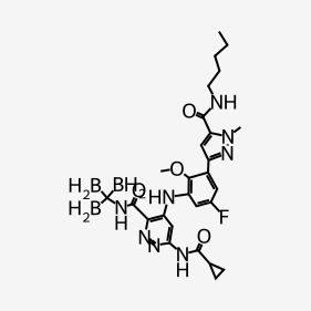 BC(B)(B)NC(=O)c1nnc(NC(=O)C2CC2)cc1Nc1cc(F)cc(-c2cc(C(=O)NCCCCC)n(C)n2)c1OC